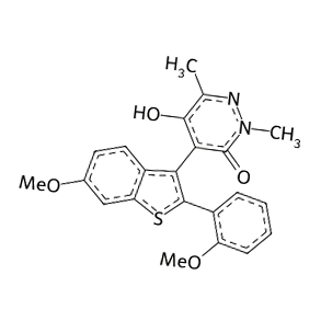 COc1ccc2c(-c3c(O)c(C)nn(C)c3=O)c(-c3ccccc3OC)sc2c1